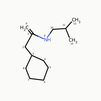 C=C(CC1CCCCC1)NCC(C)C